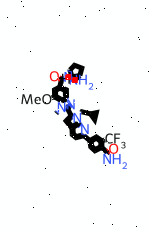 COc1cc(C(=O)N2CC3CCC2[C@@H]3N)cc2nc(-c3cc4ccc(-c5ccc(C(N)=O)c(C(F)(F)F)c5)nc4n3CC3CC3)n(C)c12